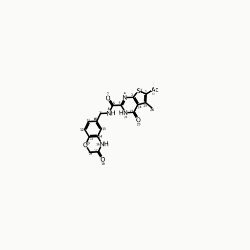 CC(=O)c1sc2nc(C(=O)NCc3ccc4c(c3)NC(=O)CO4)[nH]c(=O)c2c1C